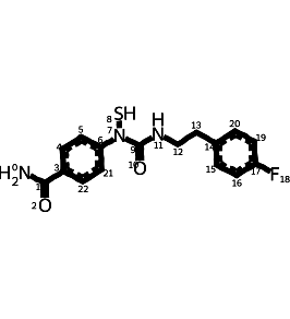 NC(=O)c1ccc(N(S)C(=O)NCCc2ccc(F)cc2)cc1